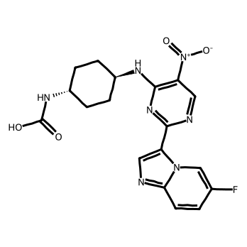 O=C(O)N[C@H]1CC[C@H](Nc2nc(-c3cnc4ccc(F)cn34)ncc2[N+](=O)[O-])CC1